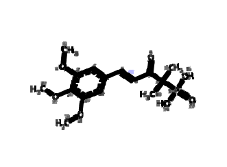 COc1cc(/C=C/C(=O)C(C)(C)P(=O)(O)O)cc(OC)c1OC